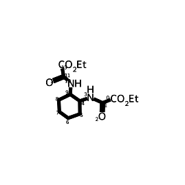 CCOC(=O)C(=O)NC1CCCCC1NC(=O)C(=O)OCC